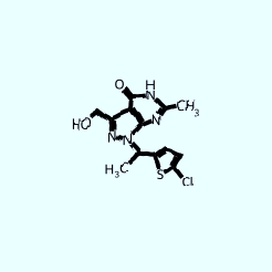 Cc1nc2c(c(CO)nn2C(C)c2ccc(Cl)s2)c(=O)[nH]1